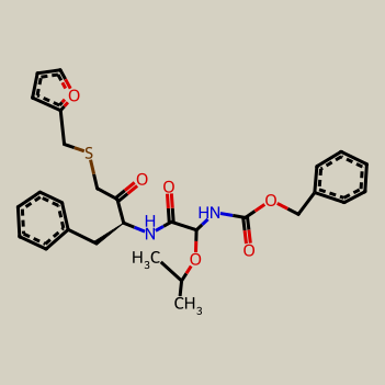 CC(C)OC(NC(=O)OCc1ccccc1)C(=O)N[C@@H](Cc1ccccc1)C(=O)CSCc1ccco1